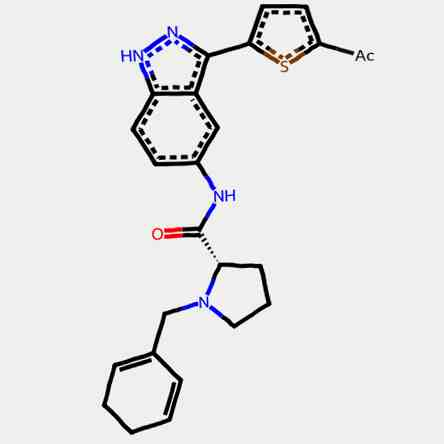 CC(=O)c1ccc(-c2n[nH]c3ccc(NC(=O)[C@@H]4CCCN4CC4=CCCC=C4)cc23)s1